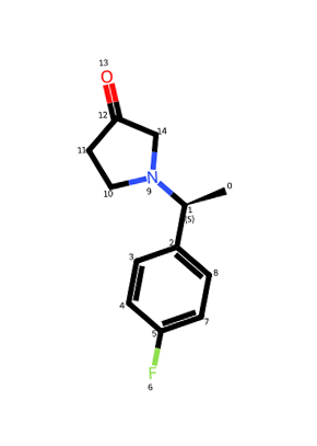 C[C@@H](c1ccc(F)cc1)N1CCC(=O)C1